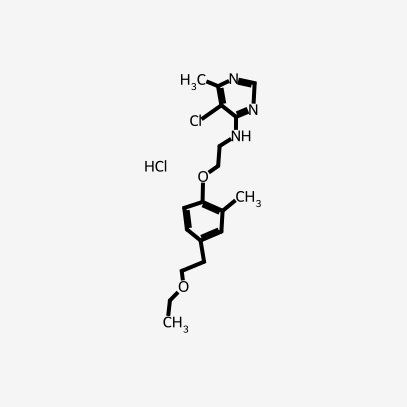 CCOCCc1ccc(OCCNc2ncnc(C)c2Cl)c(C)c1.Cl